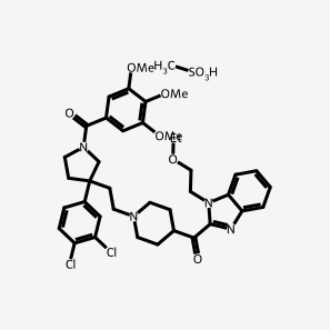 CCOCCn1c(C(=O)C2CCN(CCC3(c4ccc(Cl)c(Cl)c4)CCN(C(=O)c4cc(OC)c(OC)c(OC)c4)C3)CC2)nc2ccccc21.CS(=O)(=O)O